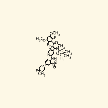 COc1cc(OC)c(F)c(C(=O)c2oc3cnc(Nc4ccc(N5CCC(C)(F)CC5)cc4[N+](=O)[O-])cc3c2N(C)C(=O)OC(C)(C)C)c1F